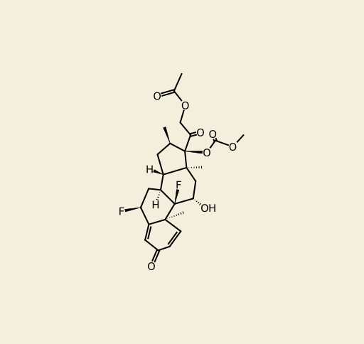 COC(=O)O[C@]1(C(=O)COC(C)=O)[C@H](C)C[C@H]2[C@@H]3C[C@H](F)C4=CC(=O)C=C[C@]4(C)[C@@]3(F)[C@@H](O)C[C@@]21C